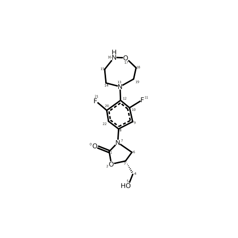 O=C1O[C@@H](CO)CN1c1cc(F)c(N2CCNOCC2)c(F)c1